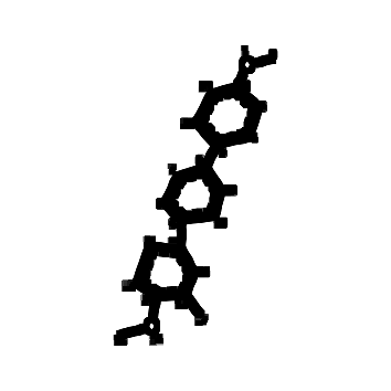 COc1ccc(-c2ccc(-c3ccc(OC)c(C)c3)cc2)cc1